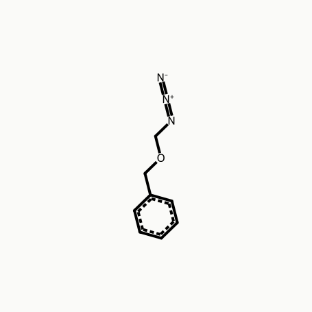 [N-]=[N+]=NCOCc1ccccc1